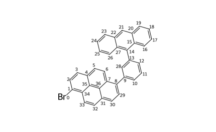 Brc1ccc2ccc3c(-c4cccc(-c5c6ccccc6cc6ccccc56)c4)ccc4ccc1c2c43